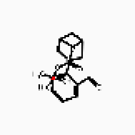 CC(C)(C)OC(=O)N1C2CC1CN(c1ncccc1C=O)C2